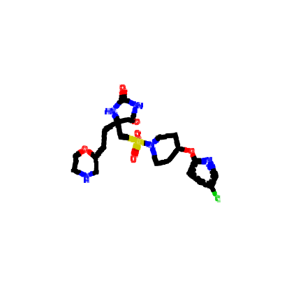 O=C1NC(=O)C(CCC2CNCCO2)(CS(=O)(=O)N2CCC(Oc3ccc(Cl)cn3)CC2)N1